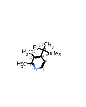 CCCCCCC(C)(CC)c1ccnc(C)c1C